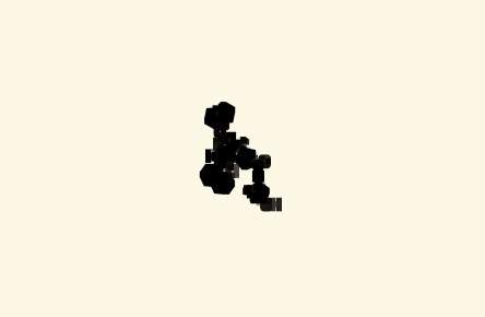 CN1C[C@H](O)C[C@H]1C#CC(=O)N1CC[C@@H](N(C)c2nc(OCC34CCCN3CCC4)nc3c(F)c(-c4cccc5cccc(Cl)c45)ncc23)C1